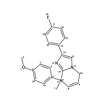 COc1ccc([N+]2(C)C=CCn3cc(-c4ccc(F)cc4)nc32)cc1